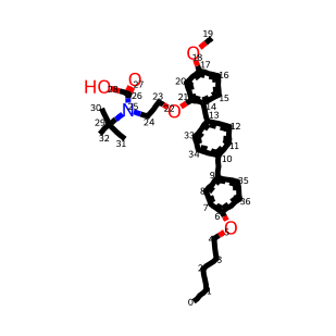 CCCCCOc1ccc(-c2ccc(-c3ccc(OC)cc3OCCN(C(=O)O)C(C)(C)C)cc2)cc1